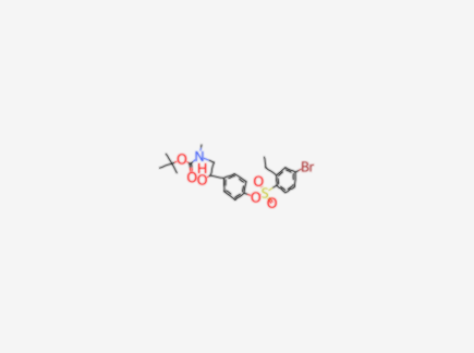 CCc1cc(Br)ccc1S(=O)(=O)Oc1ccc(C(O)CN(C)C(=O)OC(C)(C)C)cc1